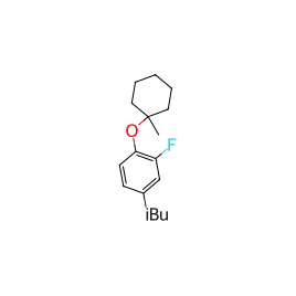 CCC(C)c1ccc(OC2(C)CCCCC2)c(F)c1